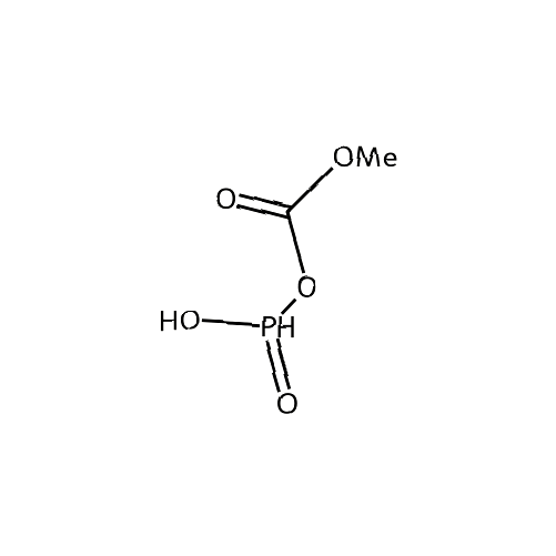 COC(=O)O[PH](=O)O